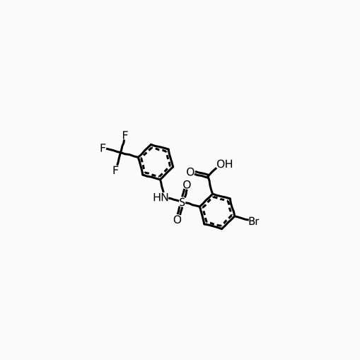 O=C(O)c1cc(Br)ccc1S(=O)(=O)Nc1cccc(C(F)(F)F)c1